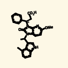 COc1ccc2c(n1)n([C@H](CC(=O)O)c1ccccc1)c(=O)n2C(C)c1c[nH]c2cccc(C)c12